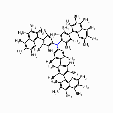 Bc1cc2c(-c3c(B)cc(N(c4cc(B)c(-c5c(B)c(B)c(-c6c(B)c(B)c(B)c7c(B)c(B)c(B)cc67)c(B)c5B)c(B)c4)c4c(B)c(B)c(-c5c(B)c(B)c(B)c6c(B)c(B)c(B)cc56)c(B)c4B)c(B)c3B)c(B)c(B)c(B)c2c(B)c1B